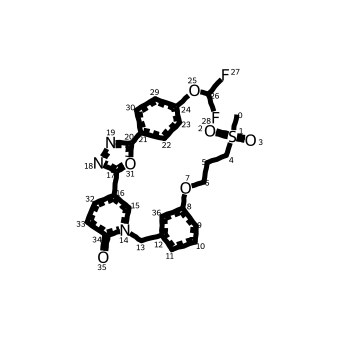 CS(=O)(=O)CCCOc1cccc(Cn2cc(-c3nnc(-c4ccc(OC(F)F)cc4)o3)ccc2=O)c1